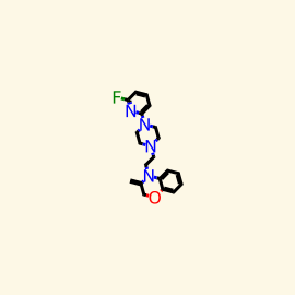 C=C1COc2ccccc2N1CCN1CCN(c2cccc(F)n2)CC1